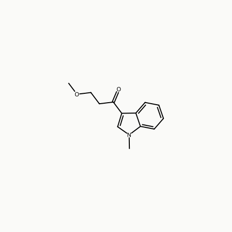 COCCC(=O)c1cn(C)c2ccccc12